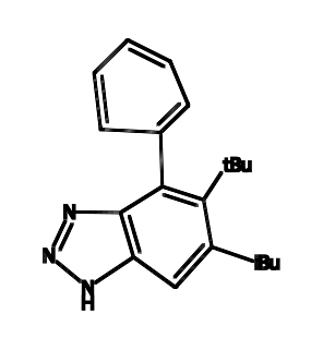 CCC(C)c1cc2[nH]nnc2c(-c2ccccc2)c1C(C)(C)C